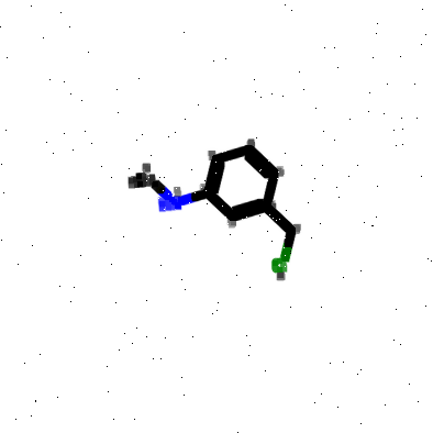 CCCCNc1cccc(CCl)c1